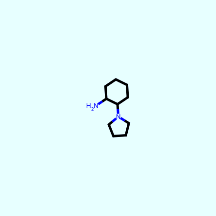 NC1CCCCC1N1CCCC1